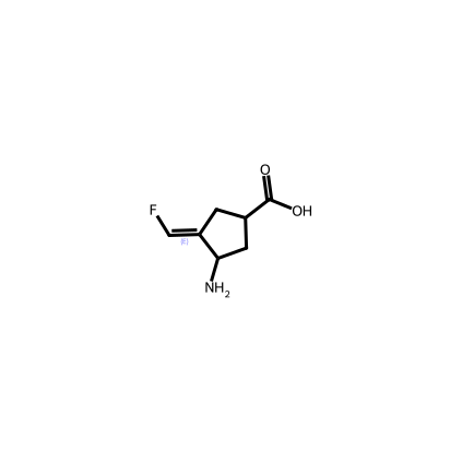 NC1CC(C(=O)O)C/C1=C\F